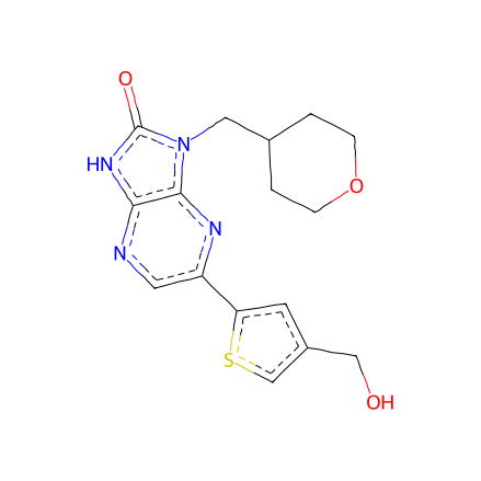 O=c1[nH]c2ncc(-c3cc(CO)cs3)nc2n1CC1CCOCC1